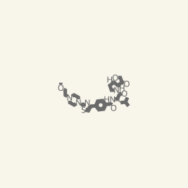 COCCN1CCN(c2nc(-c3ccc(C(=O)N[C@@H](CC(C)C)C(=O)N4CC[C@H]5OCC(=O)[C@H]54)cc3)cs2)CC1